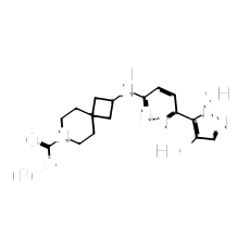 Cc1cnn(C)c1-c1ccc(NC2CC3(CCN(C(=O)OC(C)(C)C)CC3)C2)nn1